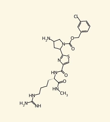 CNC(=O)[C@H](CCCCNC(=N)N)NC(=O)c1csc(C2CC(N)CN2C(=O)OCc2cccc(Cl)c2)n1